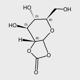 O=C1OC2O[C@H](CO)[C@@H](O)[C@H](O)[C@H]2O1